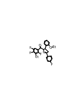 CCOc1ccccc1C1CC(c2ccc(F)cc2)=NC1C(=O)c1cc(F)c(F)c(CC)c1F